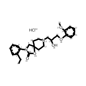 CCc1ccccc1N1CC2(CCN(CC(O)COc3ccccc3OC)CC2)OC1=O.Cl